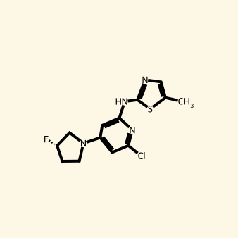 Cc1cnc(Nc2cc(N3CC[C@H](F)C3)cc(Cl)n2)s1